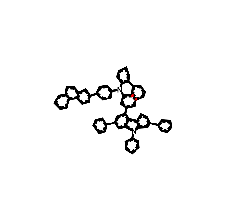 c1ccc(-c2ccc3c4c(-c5cccc(N(c6ccc(-c7ccc8c(ccc9ccccc98)c7)cc6)c6ccccc6-c6ccccc6)c5)cc(-c5ccccc5)cc4n(-c4ccccc4)c3c2)cc1